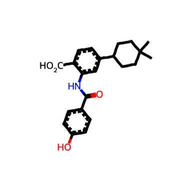 CC1(C)CCC(c2ccc(C(=O)O)c(NC(=O)c3ccc(O)cc3)c2)CC1